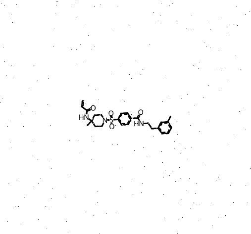 C=CC(=O)NC1(C)CCN(S(=O)(=O)c2ccc(C(=O)NCCc3cccc(C)c3)cc2)CC1